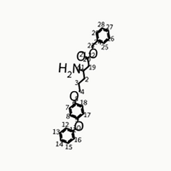 NC(CCCOc1ccc(Oc2ccccc2)cc1)CC(=O)OCc1ccccc1